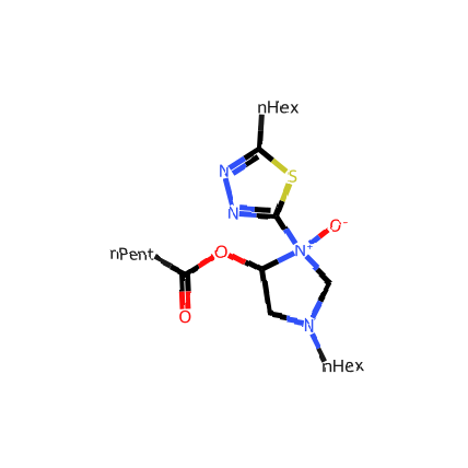 CCCCCCc1nnc([N+]2([O-])CN(CCCCCC)CC2OC(=O)CCCCC)s1